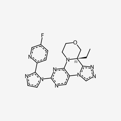 CC[C@]12COCCN1c1nc(-n3ccnc3-c3ccc(F)cn3)ncc1-n1cnnc12